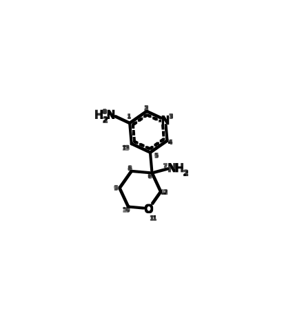 Nc1cncc(C2(N)CCCOC2)c1